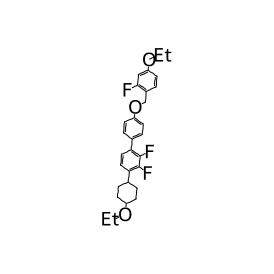 CCOc1ccc(COc2ccc(-c3ccc(C4CCC(OCC)CC4)c(F)c3F)cc2)c(F)c1